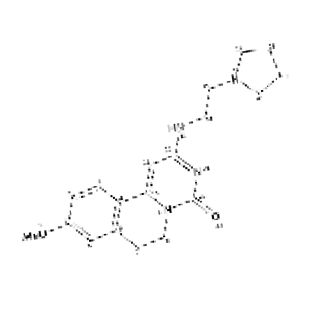 COc1ccc2c(c1)CCn1c-2cc(NCCN2CCCC2)nc1=O